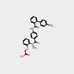 Cc1ccc(-c2ccccc2C(=O)Nc2ccc(C(=O)N(C)c3ccccc3OCC(=O)O)cc2)cc1